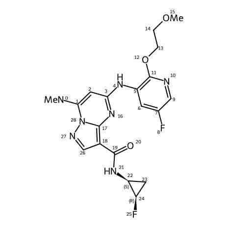 CNc1cc(Nc2cc(F)cnc2OCCOC)nc2c(C(=O)N[C@H]3C[C@H]3F)cnn12